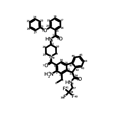 CCc1c(N)c(C(=O)N2CCC(NC(=O)c3ccccc3Oc3ccccc3)CC2)cc2c1C(C(=O)NCC(F)(F)F)c1ccccc1-2